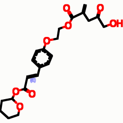 C=C(CC(=O)CO)C(=O)OCCOc1ccc(/C=C/C(=O)OC2CCCCO2)cc1